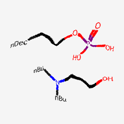 CCCCCCCCCCCCOP(=O)(O)O.CCCCN(CCO)CCCC